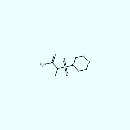 CC(C(N)=O)S(=O)(=O)N1CCOCC1